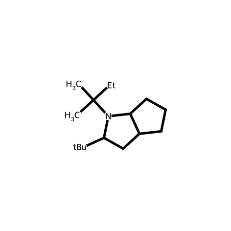 CCC(C)(C)N1C2CCCC2CC1C(C)(C)C